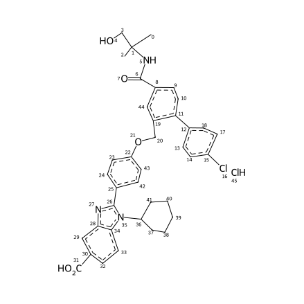 CC(C)(CO)NC(=O)c1ccc(-c2ccc(Cl)cc2)c(COc2ccc(-c3nc4cc(C(=O)O)ccc4n3C3CCCCC3)cc2)c1.Cl